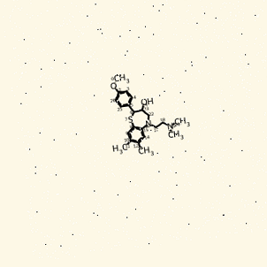 COc1ccc(C2Sc3cc(C)c(C)cc3N(CCN(C)C)CC2O)cc1